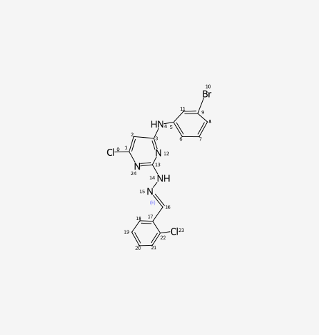 Clc1cc(Nc2cccc(Br)c2)nc(N/N=C/c2ccccc2Cl)n1